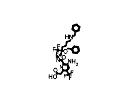 Nc1cc(C(F)(F)F)c(CC(=O)O)nc1-c1nnc(C(CCCCNCc2ccccc2)(OCc2ccccc2)C(F)(F)F)o1